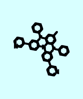 Cc1cc2c3c(c1)P(c1ccccc1)c1cc(-c4cccnc4)ccc1N3c1ccc(-c3cccnc3)cc1P2c1ccccc1